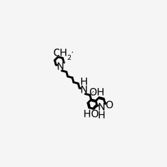 [CH2]C1CCN(CCCCCCCNC[C@H](O)c2ccc(O)c3[nH]c(=O)ccc23)CC1